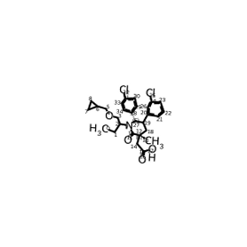 CCC(COCC1CC1)N1C(=O)[C@@](C)(CC(=O)O)CC(c2cccc(Cl)c2)[C@H]1c1ccc(Cl)cc1